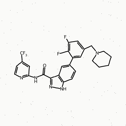 O=C(Nc1cc(C(F)(F)F)ccn1)c1n[nH]c2ccc(-c3cc(CN4CCCCC4)cc(F)c3F)cc12